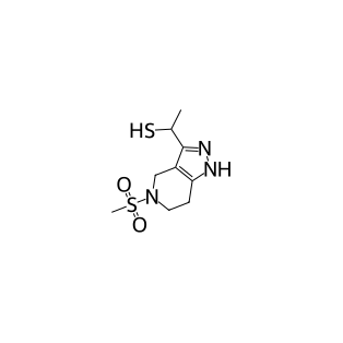 CC(S)c1n[nH]c2c1CN(S(C)(=O)=O)CC2